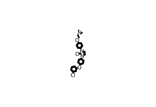 CN(C)CCOc1ccc(-n2ccn(-c3ccc(Oc4cccc(Cl)c4)cc3)c2=O)cc1